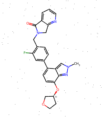 Cn1cc2c(-c3ccc(CN4Cc5ncccc5C4=O)c(F)c3)ccc(O[C@H]3CCOC3)c2n1